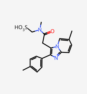 Cc1ccc(-c2nc3ccc(C)cn3c2CC(=O)N(C)CS(=O)(=O)O)cc1